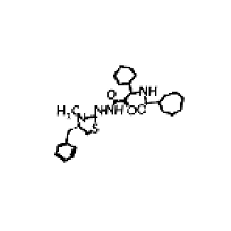 CN1/C(=N/NC(=O)C(=O)C(NC(=O)C2CCCCCC2)C2CCCCC2)SC[C@H]1Cc1ccccc1